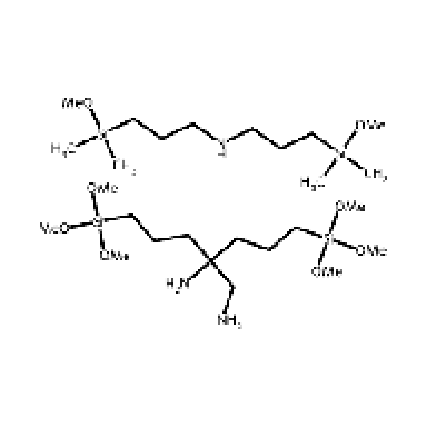 CO[Si](C)(C)CCCNCCC[Si](C)(C)OC.CO[Si](CCCC(N)(CN)CCC[Si](OC)(OC)OC)(OC)OC